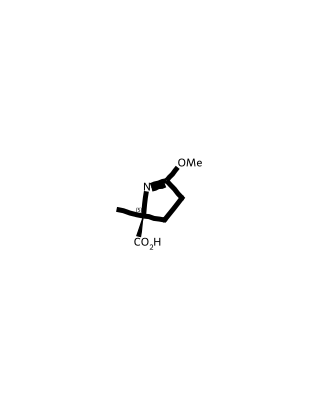 COC1=N[C@](C)(C(=O)O)CC1